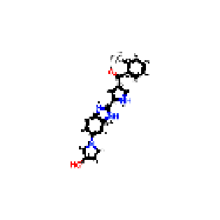 O=C(c1c[nH]c(-c2nc3ccc(N4CC[C@@H](O)C4)cc3[nH]2)c1)c1ccccc1C(F)(F)F